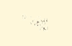 CC1(C)O[C@H]2CCC(C(=O)CC#N)[C@H]2O1